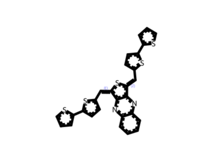 C(/c1ccc(-c2cccs2)s1)=c1/s/c(=C/c2ccc(-c3cccs3)s2)c2nc3ccccc3nc12